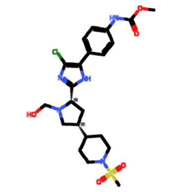 COC(=O)Nc1ccc(-c2[nH]c([C@@H]3C[C@H](C4CCN(S(C)(=O)=O)CC4)CN3CO)nc2Cl)cc1